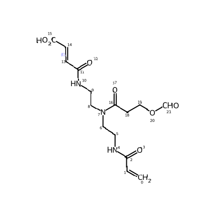 C=CC(=O)NCCN(CCNC(=O)/C=C/C(=O)O)C(=O)CCOC=O